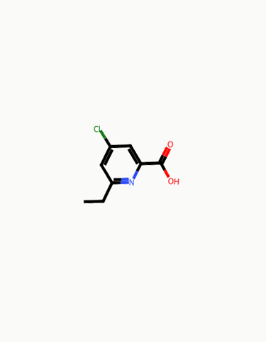 CCc1cc(Cl)cc(C(=O)O)n1